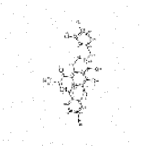 CN(C)C(=O)c1c2c(c(O)c(=O)n1Cc1ccc(F)cc1)C(=O)N(Cc1ccc(F)c(Cl)c1)CC2